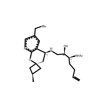 C=CCC[C@H](NC(C)=O)[C@H](O)CN[C@H]1C[C@]2(C[C@H](C)C2)Oc2ncc(CC(C)(C)C)cc21